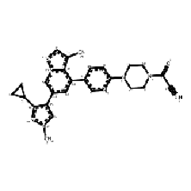 C#CC(=O)N1CCN(c2ccc(-c3cc(-c4cn(C)nc4C4CC4)cn4ncc(C#N)c34)cn2)CC1